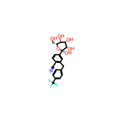 N#Cc1ccc([C@]2(O)O[C@H](CO)[C@@H](O)[C@H](O)[C@H]2O)cc1Cc1ccc(C(F)(F)F)cc1